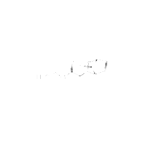 CCOC(=O)CC1CC2C=CC1C2=O